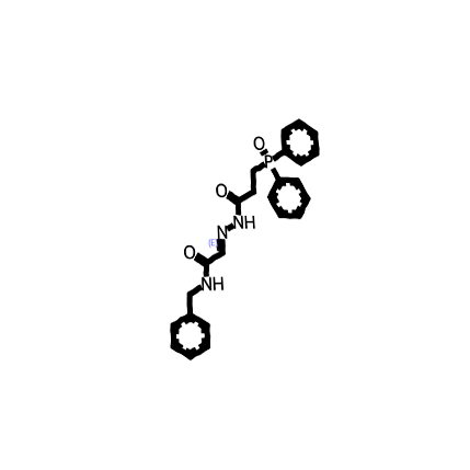 O=C(/C=N/NC(=O)CCP(=O)(c1ccccc1)c1ccccc1)NCc1ccccc1